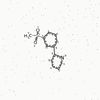 CS(=O)(=O)c1cccc(-c2[c]cccn2)c1